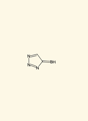 B=C1C=NN=N1